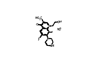 Cl.O=C(O)c1cn(CCO)c2c(F)c(N3CCNCC3)c(F)cc2c1=O